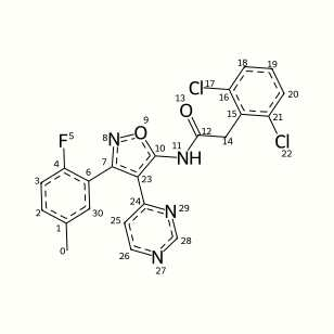 Cc1ccc(F)c(-c2noc(NC(=O)Cc3c(Cl)cccc3Cl)c2-c2ccncn2)c1